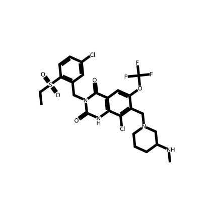 CCS(=O)(=O)c1ccc(Cl)cc1Cn1c(=O)[nH]c2c(Cl)c(CN3CCCC(NC)C3)c(OC(F)(F)F)cc2c1=O